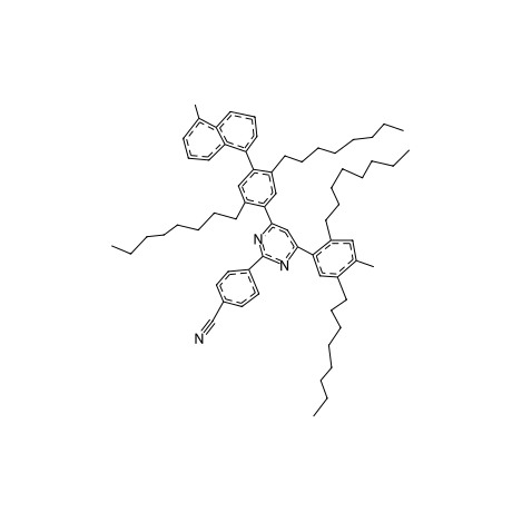 CCCCCCCCc1cc(-c2cc(-c3cc(CCCCCCCC)c(-c4cccc5c(C)cccc45)cc3CCCCCCCC)nc(-c3ccc(C#N)cc3)n2)c(CCCCCCCC)cc1C